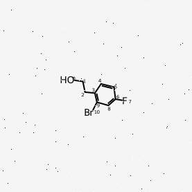 OCCc1ccc(F)cc1Br